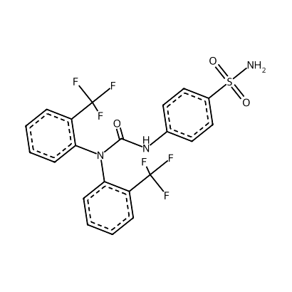 NS(=O)(=O)c1ccc(NC(=O)N(c2ccccc2C(F)(F)F)c2ccccc2C(F)(F)F)cc1